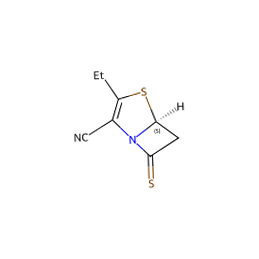 CCC1=C(C#N)N2C(=S)C[C@@H]2S1